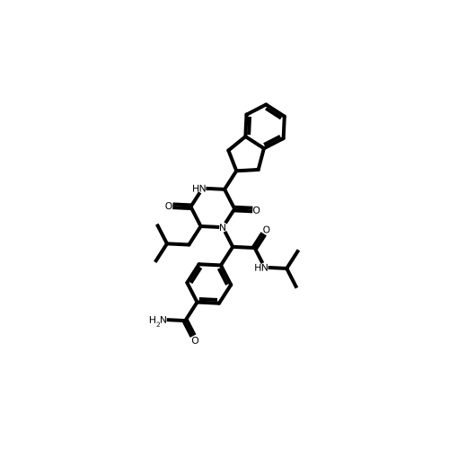 CC(C)CC1C(=O)NC(C2Cc3ccccc3C2)C(=O)N1C(C(=O)NC(C)C)c1ccc(C(N)=O)cc1